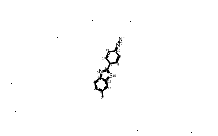 Cc1ccc2nc(C3C=CC(=[N+]=[N-])C=C3)sc2c1